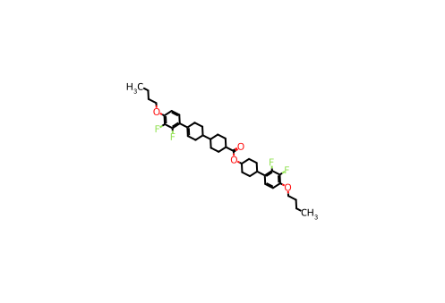 CCCCOc1ccc(C2=CCC(C3CCC(C(=O)OC4CCC(c5ccc(OCCCC)c(F)c5F)CC4)CC3)CC2)c(F)c1F